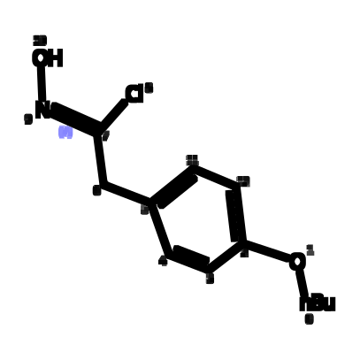 CCCCOc1ccc(C/C(Cl)=N/O)cc1